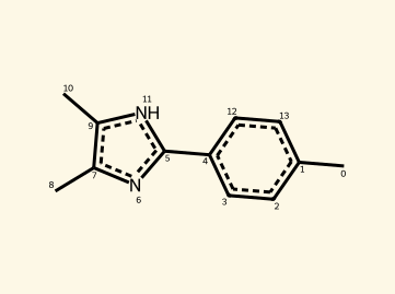 Cc1ccc(-c2nc(C)c(C)[nH]2)cc1